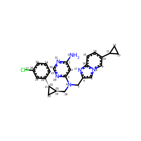 Nc1cc(N(Cc2cn3cc(C4CC4)ccc3n2)C[C@H]2C[C@@H]2c2cccc(Cl)c2)ncn1